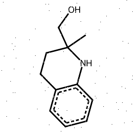 CC1(CO)CCc2ccccc2N1